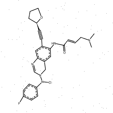 CN(C)C/C=C/C(=O)Nc1cc2c(cc1C#C[C@H]1CCCO1)N=CN(N(Cl)c1ccc(F)cc1)C2